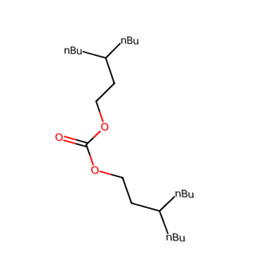 CCCCC(CCCC)CCOC(=O)OCCC(CCCC)CCCC